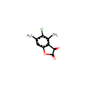 Cc1cc2c(c(C)c1Cl)C(=O)C(=O)O2